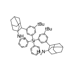 CC(C)(C)c1cc(C2C3CC4CC(C3)CC2(N)C4)cc([Si](c2ccccc2)(c2ccccc2)c2cc(C3C4CC5CC(C4)CC3(N)C5)cc(C(C)(C)C)c2)c1